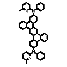 Cc1cccc(N(c2ccccc2)c2ccc3c(c2)c2ccccc2c2cc4c5ccc(N(c6ccccc6)c6cccc(C)n6)cc5c5ccccc5c4cc32)n1